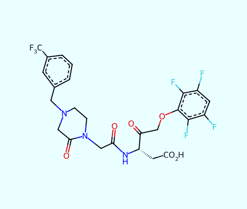 O=C(O)C[C@H](NC(=O)CN1CCN(Cc2cccc(C(F)(F)F)c2)CC1=O)C(=O)COc1c(F)c(F)cc(F)c1F